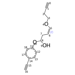 C#CCCO/C=C\CC(O)Oc1ccc(C#C)cc1